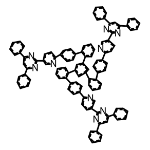 c1ccc(-c2cc(-c3ccccc3)nc(-c3ccc(-c4ccc(-c5ccccc5-c5cc(-c6ccccc6-c6ccc(-c7ccc(-c8nc(-c9ccccc9)cc(-c9ccccc9)n8)cn7)cc6)cc(-c6ccccc6-c6ccc(-c7ccc(-c8nc(-c9ccccc9)cc(-c9ccccc9)n8)cn7)cc6)c5)cc4)nc3)n2)cc1